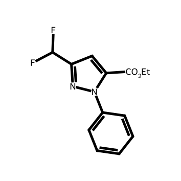 CCOC(=O)c1cc(C(F)F)nn1-c1ccccc1